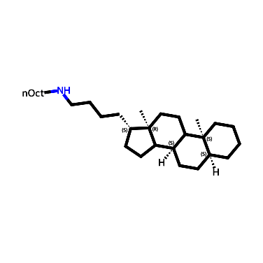 CCCCCCCCNCCCC[C@H]1CCC2[C@@H]3CC[C@@H]4CCCC[C@]4(C)C3CC[C@@]21C